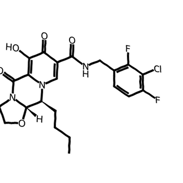 CCCC[C@H]1[C@@H]2OCCN2C(=O)c2c(O)c(=O)c(C(=O)NCc3ccc(F)c(Cl)c3F)cn21